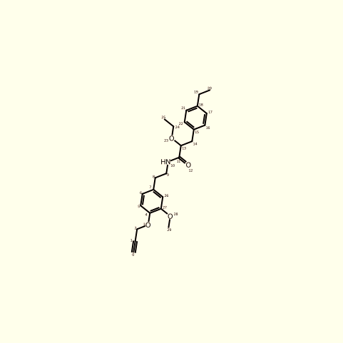 C#CCOc1ccc(CCNC(=O)C(Cc2ccc(CC)cc2)OCC)cc1OC